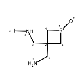 NCC1(CNI)C[S+]([O-])C1